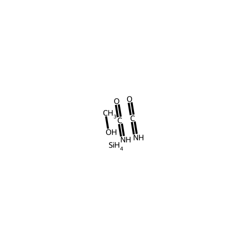 CO.N=C=O.N=C=O.[SiH4]